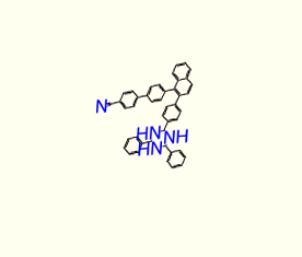 N#Cc1ccc(-c2ccc(-c3c(-c4ccc(C5NC(c6ccccc6)NC(c6ccccc6)N5)cc4)ccc4ccccc34)cc2)cc1